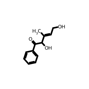 C/C(=C\CO)C(O)C(=O)c1ccccc1